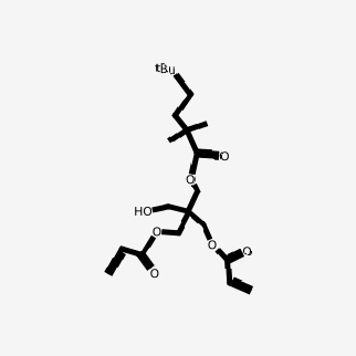 C=CC(=O)OCC(CO)(COC(=O)C=C)COC(=O)C(C)(C)CCC(C)(C)C